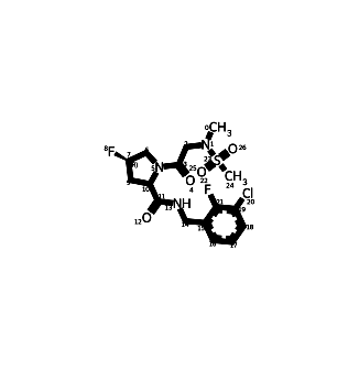 CN(CC(=O)N1C[C@H](F)CC1C(=O)NCc1cccc(Cl)c1F)S(C)(=O)=O